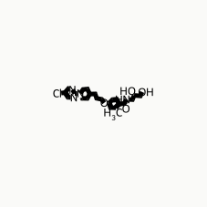 Cc1cc(OCCCC2CCN(c3ncc(Cl)cn3)CC2)ccc1C(=O)NCC(O)CO